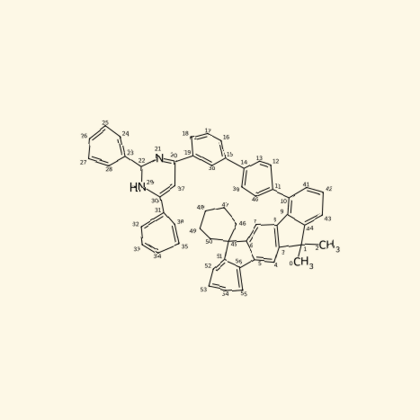 CC1(C)c2cc3c(cc2-c2c(-c4ccc(-c5cccc(C6=NC(c7ccccc7)NC(c7ccccc7)=C6)c5)cc4)cccc21)C1(CCCCC1)c1ccccc1-3